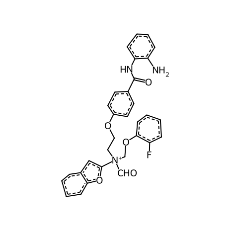 Nc1ccccc1NC(=O)c1ccc(OCC[N+](C=O)(COc2ccccc2F)c2cc3ccccc3o2)cc1